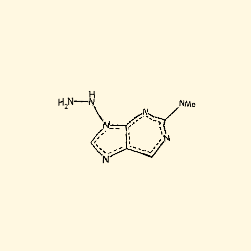 CNc1ncc2ncn(NN)c2n1